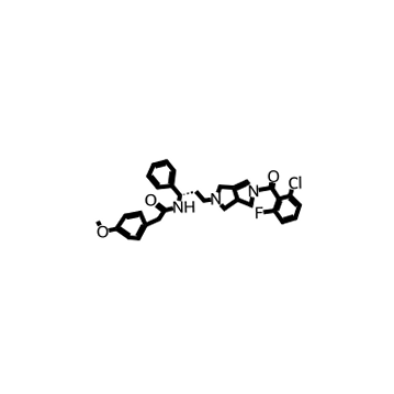 COc1ccc(CC(=O)N[C@@H](CCN2CC3=CN(C(=O)c4c(F)cccc4Cl)CC3C2)c2ccccc2)cc1